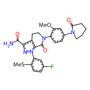 COc1cc(N2CCCCC2=O)ccc1N1CCc2c(C(N)=O)nn(-c3cc(F)ccc3SC)c2C1=O